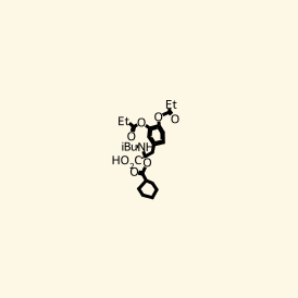 CCC(=O)Oc1ccc(C[C@](NC(C)CC)(OC(=O)C2CCCCC2)C(=O)O)cc1OC(=O)CC